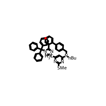 CCCCN(Cc1ccc(-c2ccccc2-c2nnnn2C(c2ccccc2)(c2ccccc2)c2ccccc2)cc1)c1cc(C)nc(SC)n1